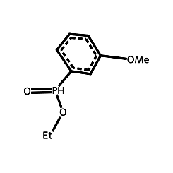 CCO[PH](=O)c1cccc(OC)c1